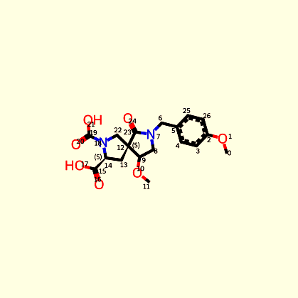 COc1ccc(CN2CC(OC)[C@@]3(C[C@@H](C(=O)O)N(C(=O)O)C3)C2=O)cc1